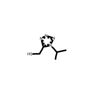 CC(C)n1nnnc1CS